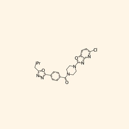 CC(C)Cc1nnc(-c2ccc(C(=O)N3CCN(c4nc5nc(Cl)ccc5o4)CC3)cc2)o1